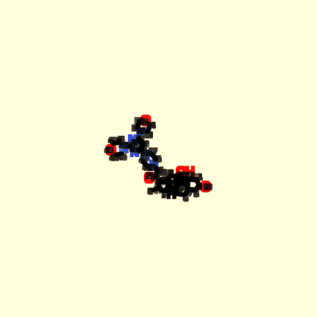 C[C@@H]1C[C@H]2[C@@H]3CCC4=CC(=O)C=C[C@]4(C)[C@H]3[C@H](O)C[C@]2(C)[C@H]1C(=O)CN1CCN(c2cc(N3CCOCC3)nc(N3CCOCC3)n2)CC1